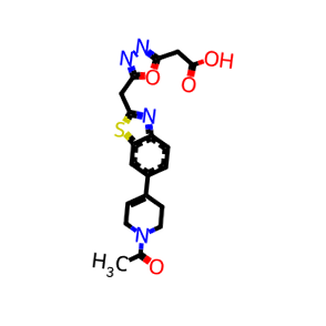 CC(=O)N1CC=C(c2ccc3nc(Cc4nnc(CC(=O)O)o4)sc3c2)CC1